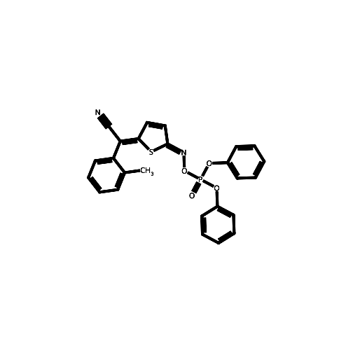 Cc1ccccc1C(C#N)=C1C=CC(=NOP(=O)(Oc2ccccc2)Oc2ccccc2)S1